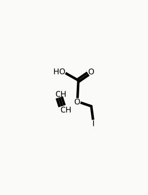 C#C.O=C(O)OCI